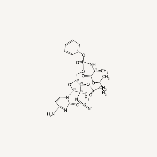 CC(=O)O[C@@H]1[C@@H](COP(=O)(N[C@@H](C)C(=O)OC(C)C)Oc2ccccc2)O[C@@H](n2ccc(N)nc2=O)[C@]1(C)N=[N+]=[N-]